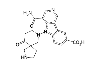 NC(=O)c1cncc2c3cc(C(=O)O)ccc3n(N3CCC(=O)C4(CCNC4)C3)c12